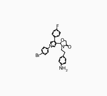 Nc1ccc(CCN2C(=O)COC2c2cn(-c3ccc(Br)cc3)cc2-c2ccc(F)cc2)cc1